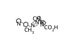 Cc1cc(-c2ccccn2)ccc1CN1CCN(C(=O)n2ccc(C(=O)O)n2)[C@H](C)C1